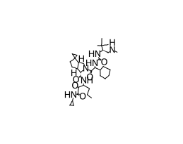 CCCC(NC(=O)[C@@H]1[C@H]2CCC3(CC3)[C@H]2CN1C(=O)[C@@H](NC(=O)N[C@H](CNC)C(C)(C)C)C1CCCCC1)C(=O)C(=O)NC1CC1